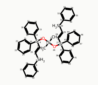 C[Si](C)(O[Si](C=C[SiH2]c1ccccc1)(c1ccccc1)c1ccccc1)O[Si](C=C[SiH2]c1ccccc1)(c1ccccc1)c1ccccc1